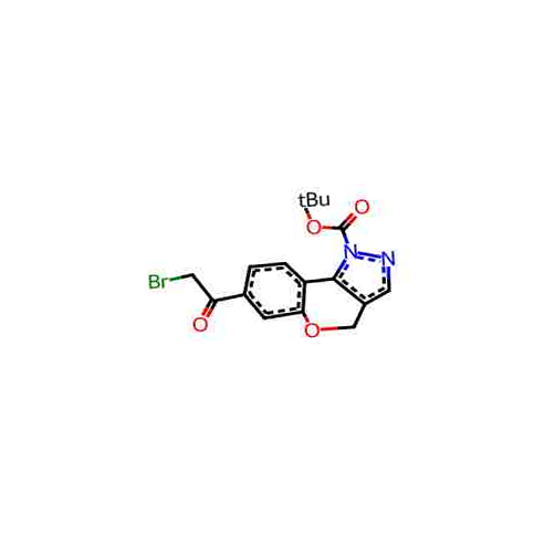 CC(C)(C)OC(=O)n1ncc2c1-c1ccc(C(=O)CBr)cc1OC2